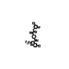 O=C(Cc1cc(F)cc(Cl)c1)N[C@H]1CC[C@@H](Nc2cc(C(F)(F)F)nc3ccc(Cl)cc23)CC1